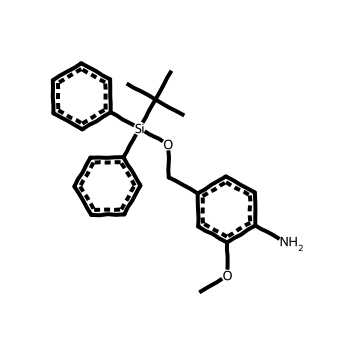 COc1cc(CO[Si](c2ccccc2)(c2ccccc2)C(C)(C)C)ccc1N